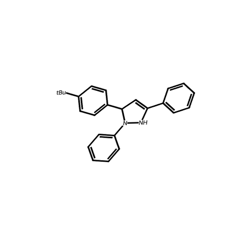 CC(C)(C)c1ccc(C2C=C(c3ccccc3)NN2c2ccccc2)cc1